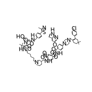 Cc1ncsc1-c1ccc(CNC(=O)[C@@H]2C[C@@H](O)CN2C(=O)[C@@H](NC(=O)CCCCCN2CCCC(CNc3ccc(S(=O)(=O)NC(=O)c4ccc(N5CCN(CC6=C(c7ccc(Cl)cc7)CC(C)(C)CC6)CC5)cc4Oc4cnc5[nH]ccc5c4)cc3[N+](=O)[O-])C2)C(C)(C)C)cc1